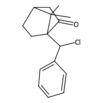 CC1(C)C2CCC1(C(Cl)c1ccccc1)C(=O)C2